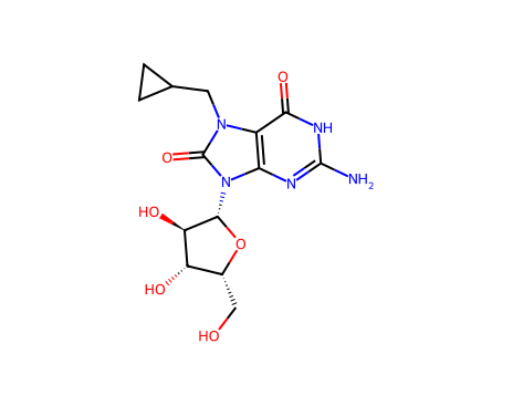 Nc1nc2c(c(=O)[nH]1)n(CC1CC1)c(=O)n2[C@@H]1O[C@H](CO)[C@H](O)[C@H]1O